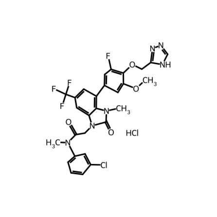 COc1cc(-c2cc(C(F)(F)F)cc3c2n(C)c(=O)n3CC(=O)N(C)c2cccc(Cl)c2)cc(F)c1OCc1nnc[nH]1.Cl